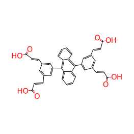 O=C(O)/C=C/c1cc(/C=C/C(=O)O)cc(-c2c3ccccc3c(-c3cc(/C=C/C(=O)O)cc(/C=C/C(=O)O)c3)c3ccccc23)c1